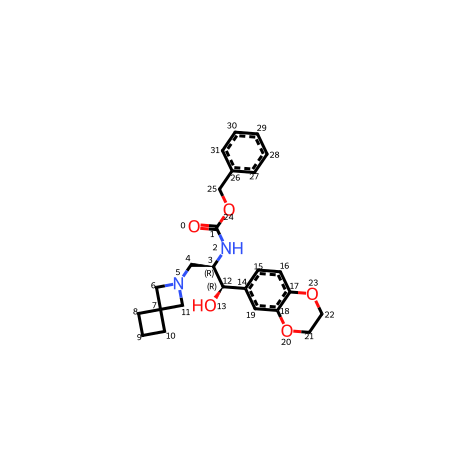 O=C(N[C@H](CN1CC2(CCC2)C1)[C@H](O)c1ccc2c(c1)OCCO2)OCc1ccccc1